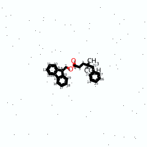 C[C@](CCC(=O)OCC1c2ccccc2-c2ccccc21)(Cc1ccccc1)C(=O)O